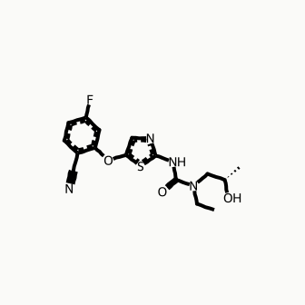 CCN(C[C@H](C)O)C(=O)Nc1ncc(Oc2cc(F)ccc2C#N)s1